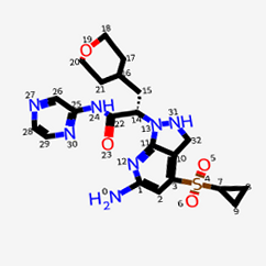 Nc1cc(S(=O)(=O)C2CC2)c2c(n1)N([C@@H](CC1CCOCC1)C(=O)Nc1cnccn1)NC2